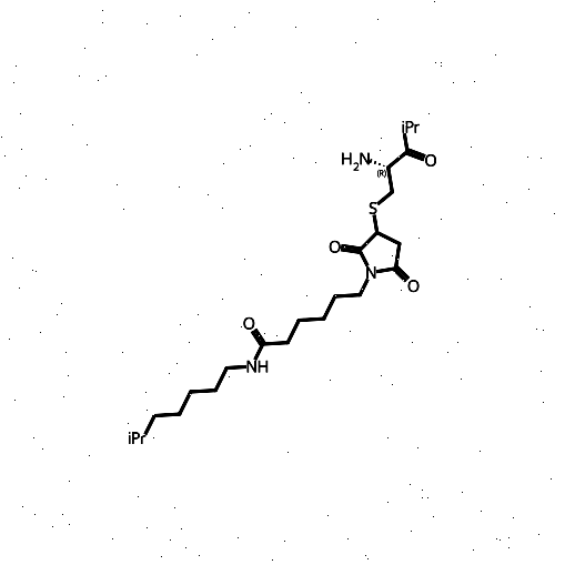 CC(C)CCCCCNC(=O)CCCCCN1C(=O)CC(SC[C@H](N)C(=O)C(C)C)C1=O